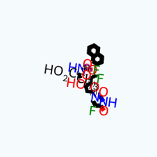 CC(N[P@](=O)(Oc1cccc2ccccc12)OC(C(F)F)[C@H]1O[C@@H](n2cc(F)c(=O)[nH]c2=O)C[C@@H]1O)C(=O)O